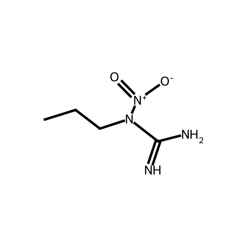 CCCN(C(=N)N)[N+](=O)[O-]